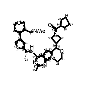 CNCc1ccccc1-c1csc([C@@H](C)Nc2nc(C)nc3c2cc2n3CCOC2C2CN(C(=O)C3CCCC3)C2)c1